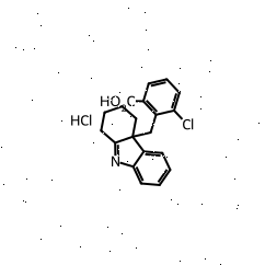 Cl.O=C(O)c1cccc(Cl)c1CC12CCCCC1=Nc1ccccc12